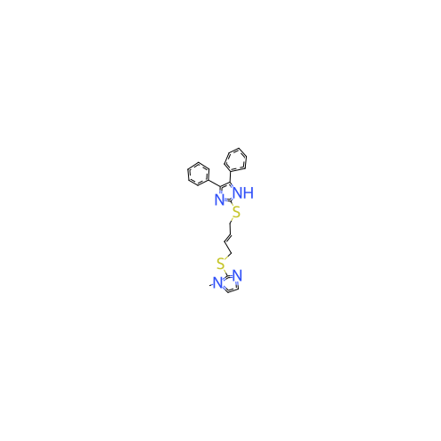 Cn1ccnc1SCC=CCSc1nc(-c2ccccc2)c(-c2ccccc2)[nH]1